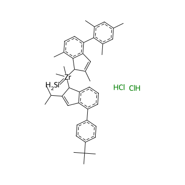 CC1=Cc2c(-c3c(C)cc(C)cc3C)ccc(C)c2[CH]1[Zr]([CH3])([CH3])(=[SiH2])[CH]1C(C(C)C)=Cc2c(-c3ccc(C(C)(C)C)cc3)cccc21.Cl.Cl